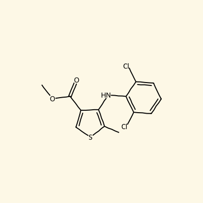 COC(=O)c1csc(C)c1Nc1c(Cl)cccc1Cl